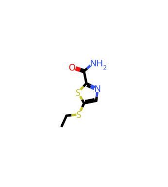 CCSc1cnc(C(N)=O)s1